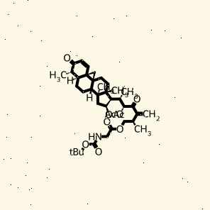 C=C(C(=O)[C@H](OC(C)=O)[C@@H](C)[C@H]1[C@@H](OC(C)=O)C[C@@]2(C)[C@@H]3CC[C@H]4[C@H](C)C(=O)C=C[C@@]45C[C@@]35CC[C@]12C)[C@@H](C)COC(=O)CNC(=O)OC(C)(C)C